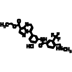 CCOC(=O)c1cnn2c(-c3cccc(NC(=O)c4ccc(CNC)c(C(F)(F)F)c4)c3)ccnc12.Cl